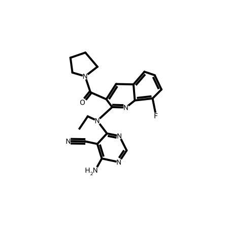 CCN(c1nc2c(F)cccc2cc1C(=O)N1CCCC1)c1ncnc(N)c1C#N